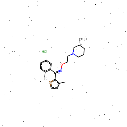 CCc1ccccc1/C(=N\OCCN1CCC[C@@H](C(=O)O)C1)c1sccc1C.Cl